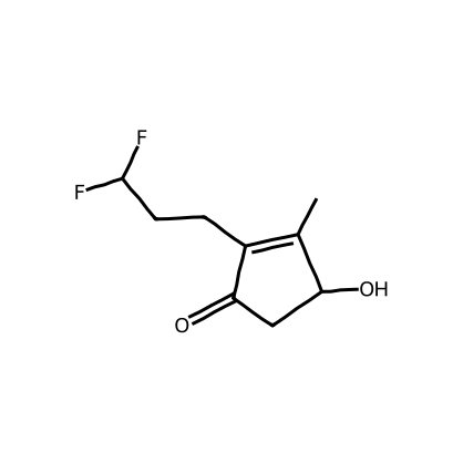 CC1=C(CCC(F)F)C(=O)CC1O